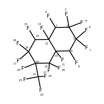 FC1C(F)(F)C(F)(F)C(F)C2(F)C1(F)C(F)C(F)(F)C(F)(C(F)(F)F)C2(F)F